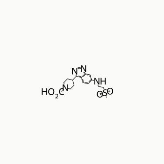 CS(=O)(=O)CCNc1ccc2c(C3CCN(C(=O)O)CC3)ncnc2c1